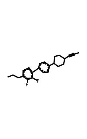 CC#CC1CCC(c2ccc(-c3ccc(CCC)c(F)c3F)cc2)CC1